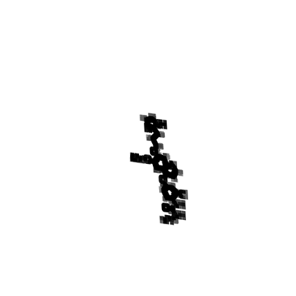 CCCNC(=O)Nc1ccc(Oc2ccnc3cc(OCCCc4ncc[nH]4)c(OC)cc23)cc1Cl